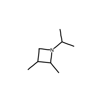 CC1CN(C(C)C)C1C